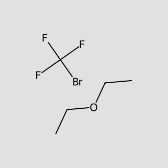 CCOCC.FC(F)(F)Br